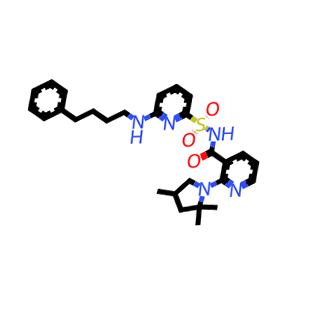 CC1CN(c2ncccc2C(=O)NS(=O)(=O)c2cccc(NCCCCc3ccccc3)n2)C(C)(C)C1